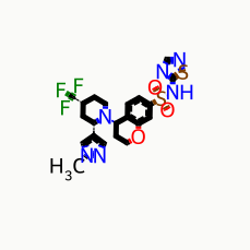 Cn1cc([C@@H]2C[C@H](C(F)(F)F)CCN2[C@H]2CCOc3cc(S(=O)(=O)Nc4ncns4)ccc32)cn1